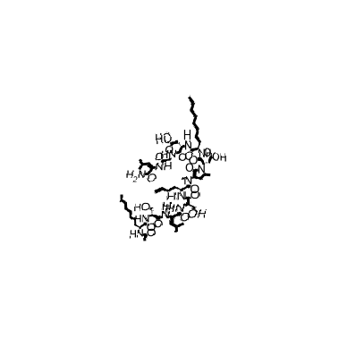 C=CCC[C@H](NC(=O)[C@@H](CO)NC(=O)/C(=C\C(C)C)NC(=O)[C@@H](CO)NC(=O)[C@H](CCCCCCCC)NC(C)=O)C(=O)N(C)[C@@H]1CC(C)N([C@@H](CC(=O)O)C(=O)N[C@H](CCCCCCCC)C(=O)N[C@@H](CC(=O)O)C(=O)NCC(=O)N/C(=C/C(C)C)C(N)=O)C1=O